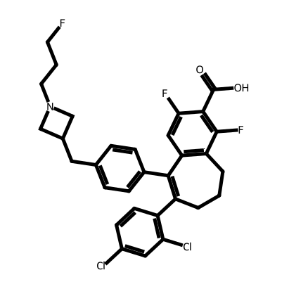 O=C(O)c1c(F)cc2c(c1F)CCCC(c1ccc(Cl)cc1Cl)=C2c1ccc(CC2CN(CCCF)C2)cc1